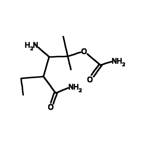 CCC(C(N)=O)C(N)C(C)(C)OC(N)=O